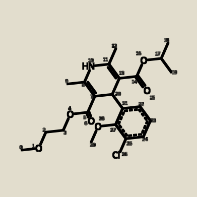 COCCOC(=O)C1=C(C)NC(C)=C(C(=O)OC(C)C)C1c1cccc(Cl)c1OC